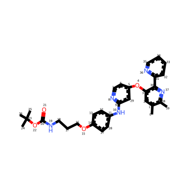 Cc1cc(Oc2ccnc(Nc3ccc(OCCCNC(=O)OC(C)(C)C)cc3)c2)c(-c2ccccn2)nc1C